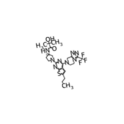 CCCc1cc2c(N3CCn4c(nnc4C(F)(F)F)C3)nc(N3CC[C@H](NC(=O)C(C)(C)O)C3)nc2s1